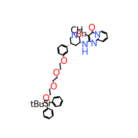 CN1C[C@H](Nc2nc3ccccn3c(=O)c2Br)C[C@H](c2cccc(OCCOCCOCCO[Si](c3ccccc3)(c3ccccc3)C(C)(C)C)c2)C1